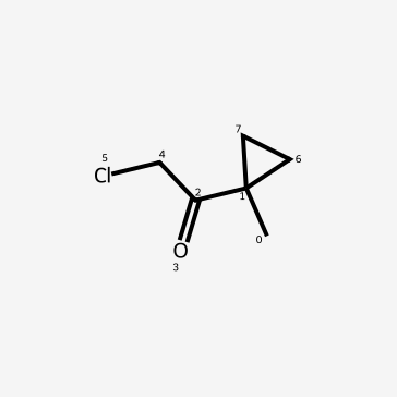 CC1(C(=O)CCl)CC1